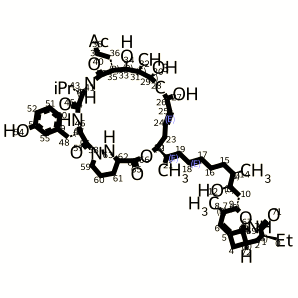 CC[C@H]1C[C@@H]2CC3=C[C@@H](C)[C@H](C[C@H](O)[C@@H](C)CC/C=C/C=C(\C)[C@@H]4C/C=C/C(O)C[C@H](O)[C@H](C)[C@@H](O)[C@@H](CCC(C)=O)C(=O)N[C@@H](C(C)C)C(=O)N[C@@H](Cc5cccc(O)c5)C(=O)N5CCCC(N5)C(=O)O4)O[C@@]32NC1=O